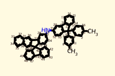 Cc1ccc(C2(c3ccc(C)cc3)c3ccccc3-c3cc(Nc4ccc5c(c4)-c4cc6ccccc6cc4C54c5ccccc5-c5ccccc54)ccc32)cc1